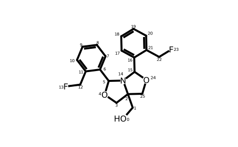 OCC12COC(c3ccccc3CF)N1C(c1ccccc1CF)OC2